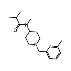 Cc1cccc(CN2CCC(N(C)C(=O)C(C)C)CC2)c1